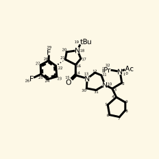 CC(=O)N(CC(C1CCCCC1)N1CCN(C(=O)C2CN(C(C)(C)C)C[C@H]2c2ccc(F)cc2F)CC1)C(C)C